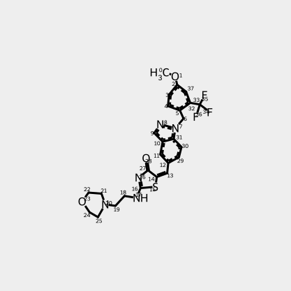 COc1ccc(Cn2ncc3cc(C=C4SC(NCCN5CCOCC5)=NC4=O)ccc32)c(C(F)(F)F)c1